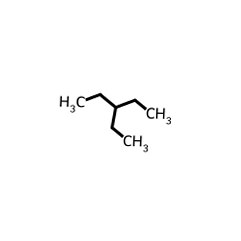 CCC(CC)CC